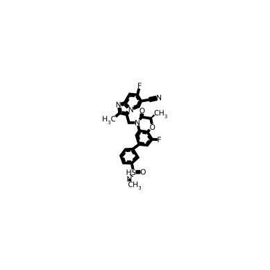 C/N=[SH](=O)/c1cccc(-c2cc(F)c3c(c2)N(Cc2c(C)nc4cc(F)c(C#N)cn24)C(=O)[C@@H](C)O3)c1